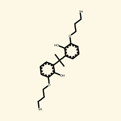 CC(C)(c1cccc(OCCCS)c1O)c1cccc(OCCCS)c1O